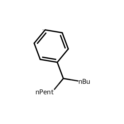 CCCCCC(CCCC)c1cc[c]cc1